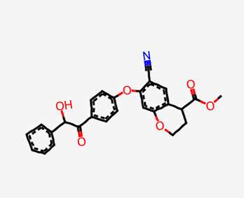 COC(=O)C1CCOc2cc(Oc3ccc(C(=O)C(O)c4ccccc4)cc3)c(C#N)cc21